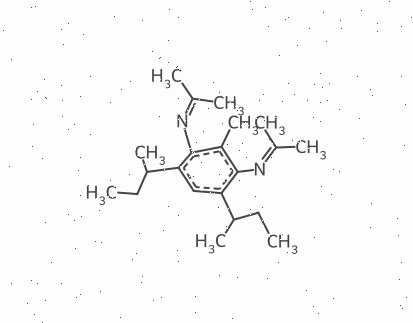 CCC(C)c1cc(C(C)CC)c(N=C(C)C)c(C)c1N=C(C)C